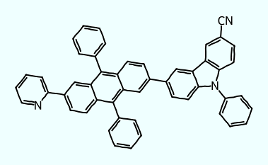 N#Cc1ccc2c(c1)c1cc(-c3ccc4c(-c5ccccc5)c5cc(-c6ccccn6)ccc5c(-c5ccccc5)c4c3)ccc1n2-c1ccccc1